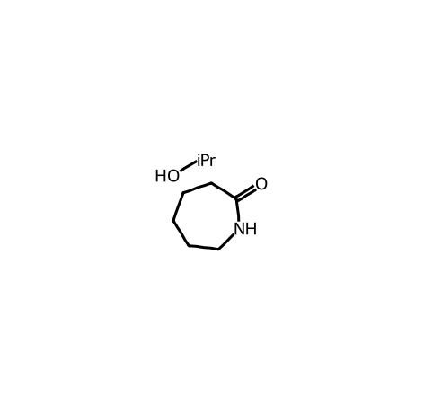 CC(C)O.O=C1CCCCCN1